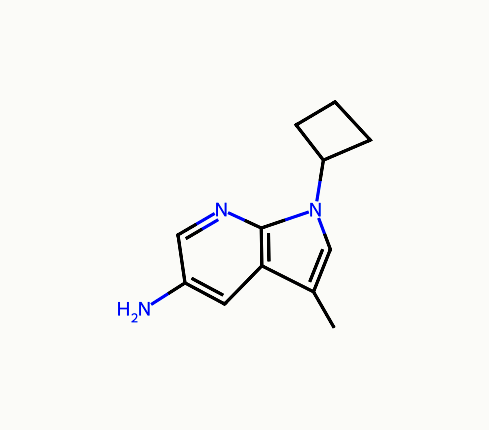 Cc1cn(C2CCC2)c2ncc(N)cc12